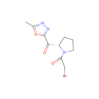 Cc1nnc(C(=O)[C@@H]2CCCN2C(=O)CBr)o1